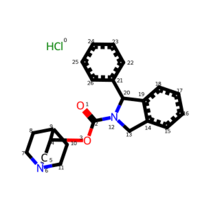 Cl.O=C(OC1CN2CCC1CC2)N1Cc2ccccc2C1c1ccccc1